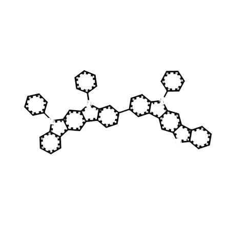 c1ccc(-n2c3ccc(-c4ccc5c6cc7c8ccccc8n(-c8ccccc8)c7cc6n(-c6ccccc6)c5c4)cc3c3cc4oc5ccccc5c4cc32)cc1